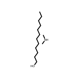 CCCCCCCCCCCCO.CNC